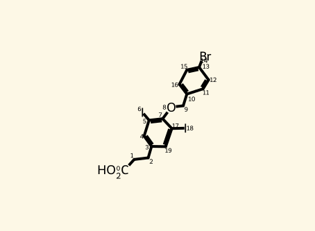 O=C(O)CCc1cc(I)c(OCc2ccc(Br)cc2)c(I)c1